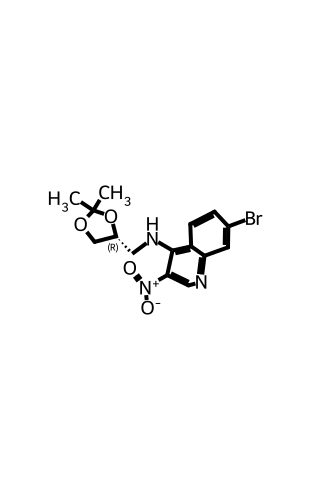 CC1(C)OC[C@@H](CNc2c([N+](=O)[O-])cnc3cc(Br)ccc23)O1